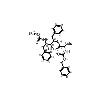 CC[C@H](C)[C@H](NC(=O)OCc1ccccc1)C(=O)NC(Cc1ccccc1)C(O)C(Cc1ccccc1)NC(=O)OC(C)(C)C